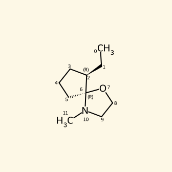 CC[C@@H]1CCC[C@@]12OCCN2C